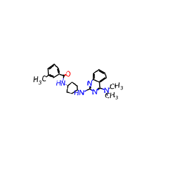 Cc1cccc(C(=O)N[C@H]2CC[C@@H](Nc3nc(N(C)C)c4ccccc4n3)CC2)c1